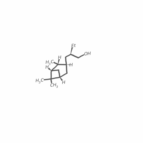 CC[C@@H](CO)C[C@H]1C[C@H]2C[C@@H]([C@@H]1C)C2(C)C